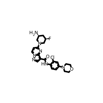 N[C@@H]1C[C@@H](F)CN(c2ccn3ncc(C(=O)Nc4ccc(N5CCOCC5)cc4Cl)c3n2)C1